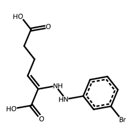 O=C(O)CC/C=C(\NNc1cccc(Br)c1)C(=O)O